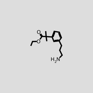 CCOC(=O)C(C)(C)c1cccc(CCCN)c1